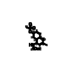 CCCCCCCCCCNc1cc(C)nc2ccc(OS(C)(=O)=O)cc12